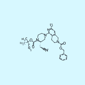 CC(C)(C)OC(=O)N1CCN(c2nc(Cl)cc3c2CCN(C(=O)OCc2ccccc2)C3)C[C@@H]1CC#N